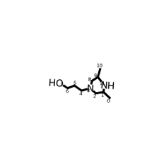 CC1CN(CCCO)CC(C)N1